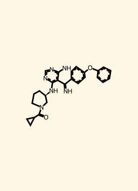 N=C(c1ccc(Oc2ccccc2)cc1)c1c(N)ncnc1N[C@@H]1CCCN(C(=O)C2CC2)C1